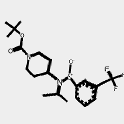 CC(C)N(C1CCN(C(=O)OC(C)(C)C)CC1)[S+]([O-])c1cccc(C(F)(F)F)c1